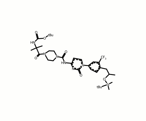 CC(Cc1ccc(-n2ccc(NC(=O)N3CCN(C(=O)C(C)(C)NC(=O)OC(C)(C)C)CC3)nc2=O)cc1C(F)(F)F)O[Si](C)(C)C(C)(C)C